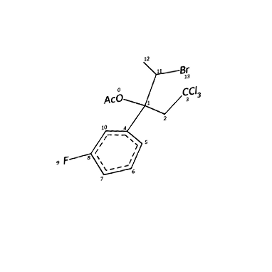 CC(=O)OC(CC(Cl)(Cl)Cl)(c1cccc(F)c1)C(C)Br